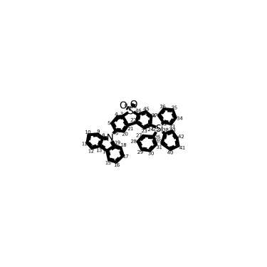 O=S1(=O)c2ccc(-n3c4ccccc4c4ccccc43)cc2-c2cc([Si](c3ccccc3)(c3ccccc3)c3ccccc3)ccc21